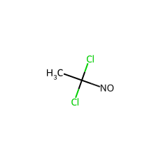 CC(Cl)(Cl)N=O